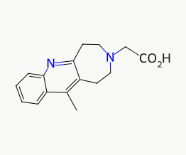 Cc1c2c(nc3ccccc13)CCN(CC(=O)O)CC2